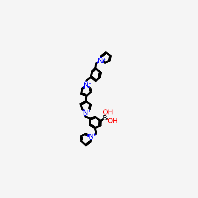 OB(O)c1cc(C[n+]2ccccc2)cc(C[n+]2ccc(-c3cc[n+](Cc4cccc(C[n+]5ccccc5)c4)cc3)cc2)c1